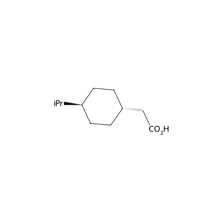 CC(C)[C@H]1CC[C@H](CC(=O)O)CC1